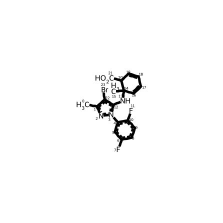 Cc1nn(-c2cc(F)ccc2F)c(NC2(C)C=CC=CC2C(=O)O)c1Br